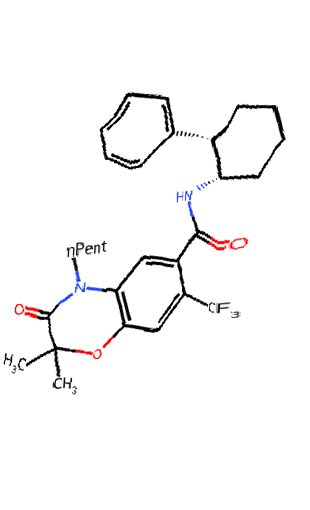 CCCCCN1C(=O)C(C)(C)Oc2cc(C(F)(F)F)c(C(=O)N[C@H]3CCCC[C@H]3c3ccccc3)cc21